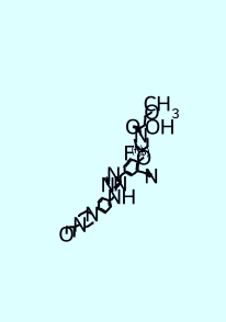 COCC(O)C(=O)N1CC[C@H](Oc2ccc(-c3ncnc(Nc4ccc(N5CCN(C6COC6)CC5)cc4)n3)cc2C#N)[C@H](F)C1